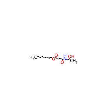 CCCCCCC=COC(=O)CCC(=O)NCC(C)O